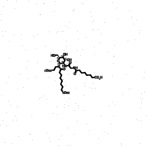 CCCCCCCCCCCCCCCCCC(=O)N(CCCCCCCCCCCC)[C@@H]1O[C@H](CO)[C@@H](O)[C@H](O)[C@H]1NC(=O)CNC(=O)CCCCCCC(=O)O